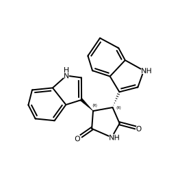 O=C1NC(=O)[C@@H](c2c[nH]c3ccccc23)[C@@H]1c1c[nH]c2ccccc12